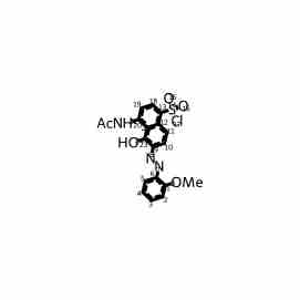 COc1ccccc1/N=N/c1ccc2c(S(=O)(=O)Cl)ccc(NC(C)=O)c2c1O